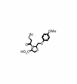 COc1ccc(SCC2SCC(C(=O)O)N2C(=O)CSC(C)=O)cc1